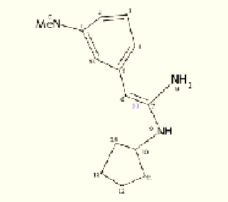 CNc1cccc(/C=C(\N)NC2CCCC2)c1